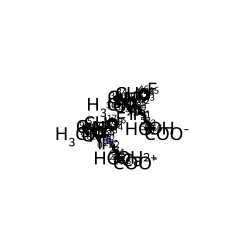 CC(C)c1nc(N(C)S(C)(=O)=O)nc(-c2ccc(F)cc2)c1/C=C/CCCC(O)(O)C(=O)[O-].CC(C)c1nc(N(C)S(C)(=O)=O)nc(-c2ccc(F)cc2)c1C=CCCCC(O)(O)C(=O)[O-].[Ca+2]